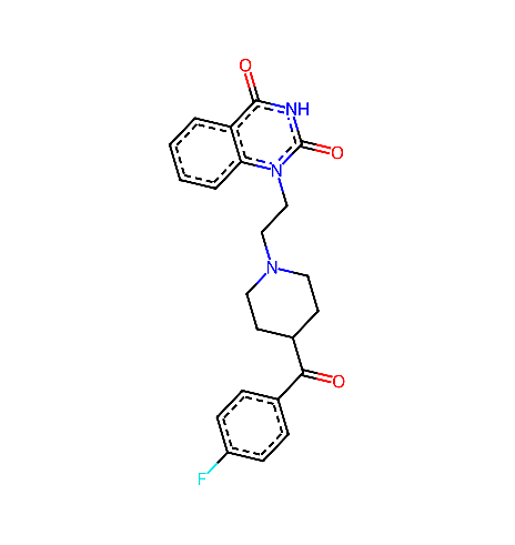 O=C(c1ccc(F)cc1)C1CCN(CCn2c(=O)[nH]c(=O)c3ccccc32)CC1